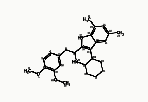 COc1ccc(CC2NC3CCCCC3c3c2[nH]c2c(C)cc(C)cc32)cc1OC